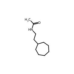 CC(=O)NCCC1CCCCCC1